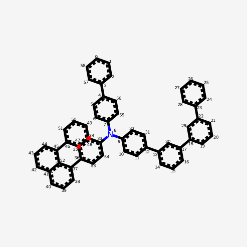 c1ccc(-c2ccc(N(c3ccc(-c4cccc(-c5cccc(-c6ccccc6)c5)c4)cc3)c3ccc(-c4cccc5cccc(-c6ccccc6)c45)cc3)cc2)cc1